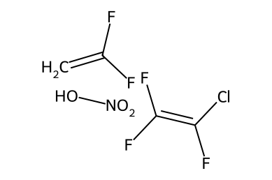 C=C(F)F.FC(F)=C(F)Cl.O=[N+]([O-])O